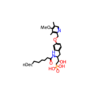 CCCCCCCCCCCCCCCC(=O)NC(Cc1ccc(OCc2ncc(C)c(OC)c2C)cc1)[C@H](O)CP(=O)(O)O